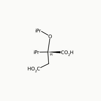 CC(C)O[C@@](CC(=O)O)(C(=O)O)C(C)C